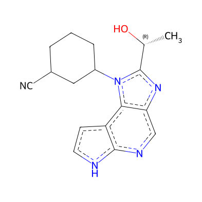 C[C@@H](O)c1nc2cnc3[nH]ccc3c2n1C1CCCC(C#N)C1